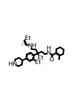 CC/C=C\NCCC(CC)(CCNC(=O)C1=C(C)CCCC1)c1ccc(C2CCNCC2)cc1CC